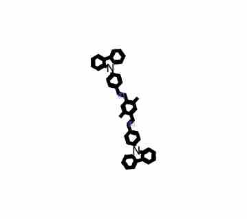 Cc1cc(/C=C/c2ccc(-n3c4ccccc4c4ccccc43)cc2)c(C)cc1/C=C/c1ccc(-n2c3ccccc3c3ccccc32)cc1